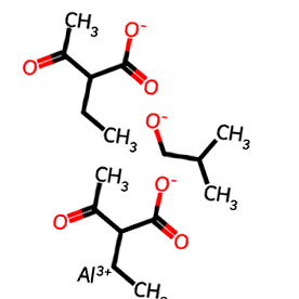 CC(C)C[O-].CCC(C(C)=O)C(=O)[O-].CCC(C(C)=O)C(=O)[O-].[Al+3]